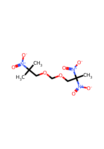 CC(C)(COCOCC(C)([N+](=O)[O-])[N+](=O)[O-])[N+](=O)[O-]